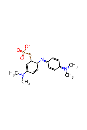 CN(C)C1=CC(SS(=O)(=O)[O-])C(N=C2C=CC(=[N+](C)C)C=C2)C=C1